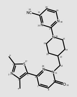 Cc1nc(C)c(-c2ccc(=O)n(CC3CCN(c4nccc(C#N)n4)CC3)n2)s1